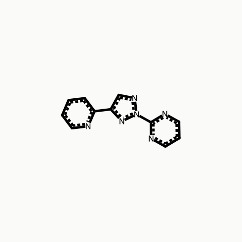 c1ccc(-c2cnn(-c3ncccn3)n2)nc1